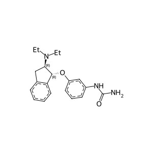 CCN(CC)[C@@H]1Cc2ccccc2[C@H]1Oc1cccc(NC(N)=O)c1